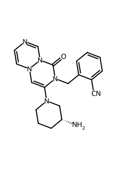 N#Cc1ccccc1CN1C(=O)N2C=NC=CN2C=C1N1CCC[C@@H](N)C1